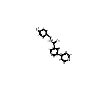 O=C(NCc1ccc(F)cc1)c1cncc(-c2ccncc2)c1